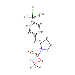 CC(C)(C)OC(=O)N1CCC[C@H]1Cc1ccc(C(F)(F)F)cc1